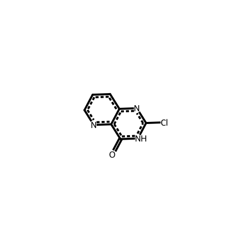 O=c1[nH]c(Cl)nc2cccnc12